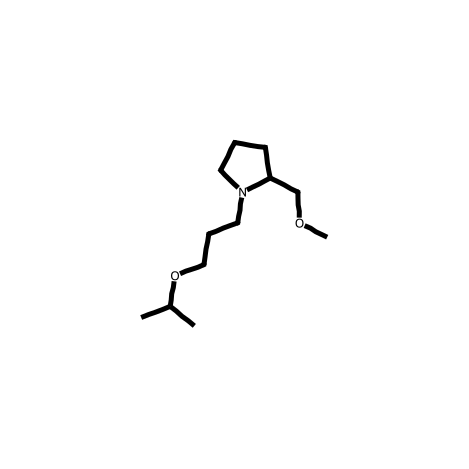 COCC1CCCN1CCCOC(C)C